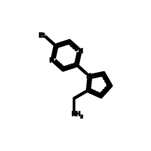 CCc1cnc(-n2cccc2CN)cn1